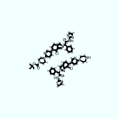 CC(C)(C)OC(=O)N1CCN(c2ccc(-c3ccc4cn(C(C(=O)Nc5nccs5)c5ccccc5)nc4c3Cl)cn2)CC1.O=C(Nc1nccs1)C(c1ccccc1)n1cc2ccc(-c3ccc(N4CCNCC4)nc3)c(Cl)c2n1